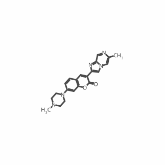 Cc1cn2cc(-c3cc4ccc(N5CCN(C)CC5)cc4oc3=O)nc2cn1